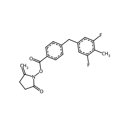 C=C1CCC(=O)N1OC(=O)c1ccc(Cc2cc(F)c(C)c(F)c2)cc1